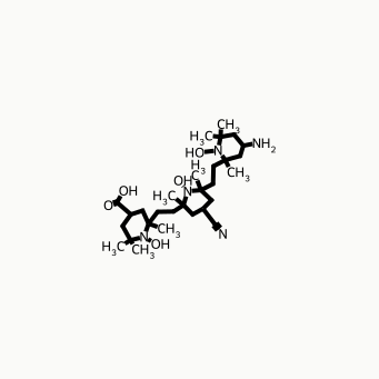 CC1(C)CC(N)CC(C)(CCC2(C)CC(C#N)CC(C)(CCC3(C)CC(C(=O)O)CC(C)(C)N3O)N2O)N1O